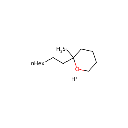 CCCCCCCCC1([SiH3])CCCCO1.[H+]